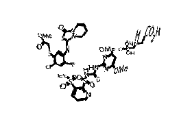 CCS(=O)(=O)c1cccnc1S(=O)(=O)NC(=O)Nc1nc(OC)cc(OC)n1.COC(=O)CSc1cc(/N=c2\sc(=O)n3n2CCCC3)c(F)cc1Cl.O=C(O)CNCP(=O)(O)O